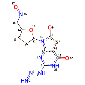 N=NNc1nc2c(sc(=O)n2C2CSC(CN=O)O2)c(=O)[nH]1